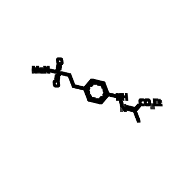 CCOC(=O)/C(C)=N\Nc1ccc(CCS(=O)(=O)NC)cc1